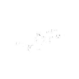 CCCCCOc1c(OC)ccc2c(Cl)c(NC(=O)OCC)cnc12